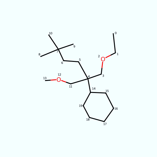 CCOCC(CCC(C)(C)C)(COC)C1CCCCC1